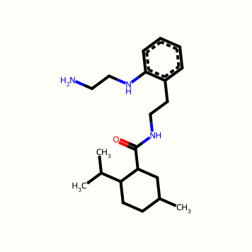 CC1CCC(C(C)C)C(C(=O)NCCc2ccccc2NCCN)C1